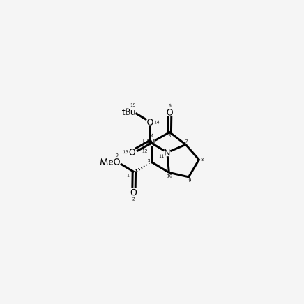 COC(=O)[C@@H]1NC(=O)C2CCC1N2C(=O)OC(C)(C)C